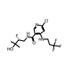 CC(C)(O)[C@H](F)CNC(=O)c1cnc(Cl)cc1NCCC(F)(F)F